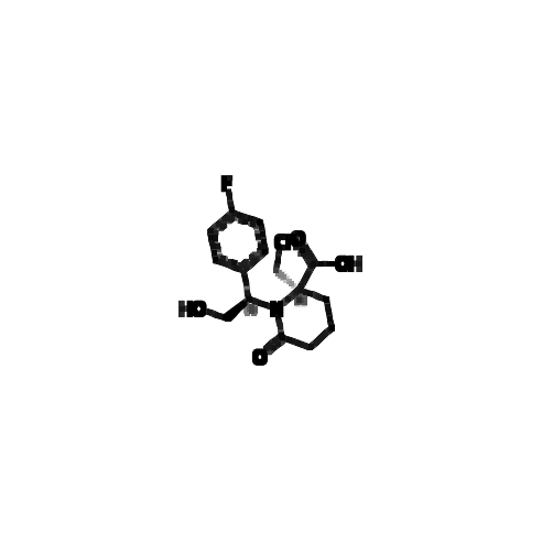 CC[C@]1(C(=O)O)CCCC(=O)N1[C@@H](CO)c1ccc(F)cc1